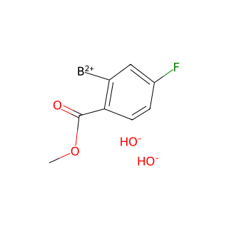 [B+2]c1cc(F)ccc1C(=O)OC.[OH-].[OH-]